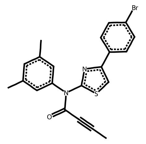 CC#CC(=O)N(c1cc(C)cc(C)c1)c1nc(-c2ccc(Br)cc2)cs1